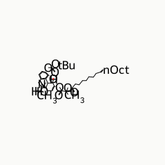 CCCCCCCCC=CCCCCCCCC(=O)OC(C)C(=O)OC1=CC[C@@]2(O)[C@H]3Cc4ccc(OC(=O)OC(C)(C)C)c5c4[C@@]2(CCN3C)[C@H]1O5